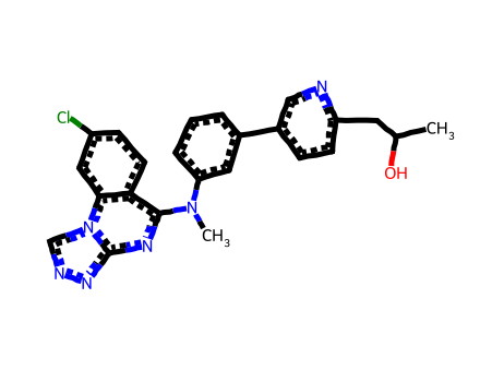 CC(O)Cc1ccc(-c2cccc(N(C)c3nc4nncn4c4cc(Cl)ccc34)c2)cn1